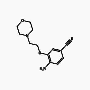 N#Cc1ccc(N)c(OCCN2CCOCC2)c1